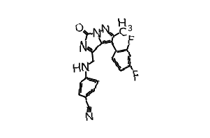 Cc1nn2c(c1-c1ccc(F)cc1F)C(CNc1ccc(C#N)cc1)=NC2=O